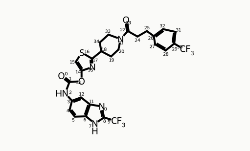 O=C(Nc1ccc2[nH]c(C(F)(F)F)nc2c1)Oc1csc(C2CCN(C(=O)CCc3ccc(C(F)(F)F)cc3)CC2)n1